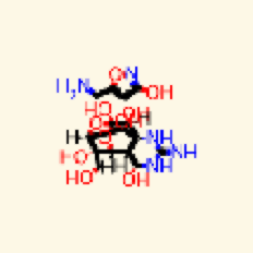 N=C1N[C@H](O)[C@H]2[C@H]3O[C@]4(O)O[C@@H](C(O)[C@@]2(N1)[C@@H]4O)[C@]3(O)CO.NCc1cc(O)no1